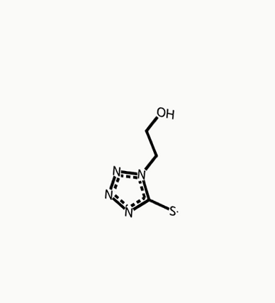 OCCn1nnnc1[S]